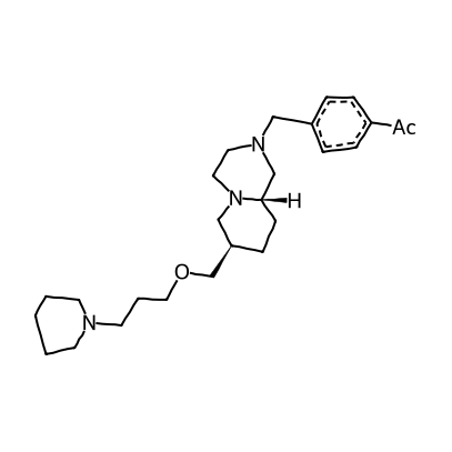 CC(=O)c1ccc(CN2CCN3C[C@H](COCCCN4CCCCC4)CC[C@H]3C2)cc1